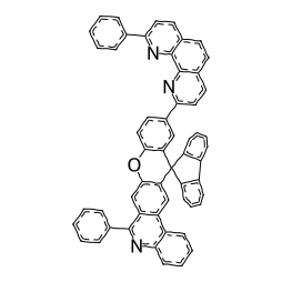 c1ccc(-c2ccc3ccc4ccc(-c5ccc6c(c5)C5(c7cc8c(cc7O6)c(-c6ccccc6)nc6ccccc68)c6ccccc6-c6ccccc65)nc4c3n2)cc1